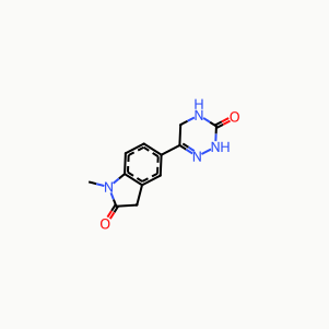 CN1C(=O)Cc2cc(C3=NNC(=O)NC3)ccc21